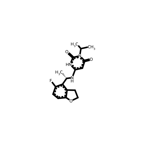 CC(C)n1c(=O)cc(N[C@@H](C)c2c(F)ccc3c2CCO3)[nH]c1=O